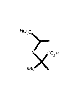 CCCCC(C)(SC(C)C(=O)O)C(=O)O